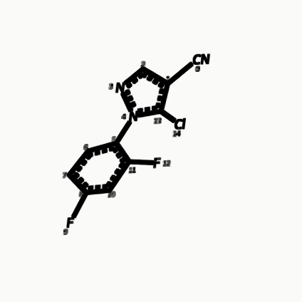 N#Cc1cnn(-c2ccc(F)cc2F)c1Cl